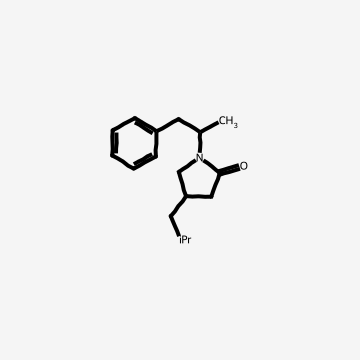 CC(C)CC1CC(=O)N(C(C)Cc2ccccc2)C1